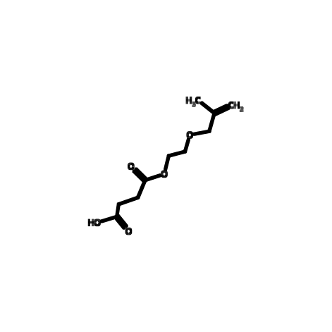 C=C(C)COCCOC(=O)CCC(=O)O